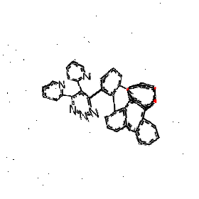 c1ccc(-c2cccc(-c3nnnc(-c4ccccn4)c3-c3ccccn3)c2-c2cccc3c4ccccc4c4ccccc4c23)cc1